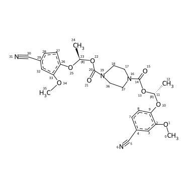 COc1cc(C#N)ccc1O[C@@H](C)OC(=O)N1CCN(C(=O)O[C@H](C)Oc2ccc(C#N)cc2OC)CC1